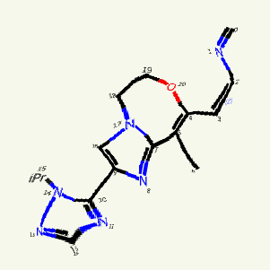 C=N/C=C\C1=C(C)c2nc(-c3ncnn3C(C)C)cn2CCO1